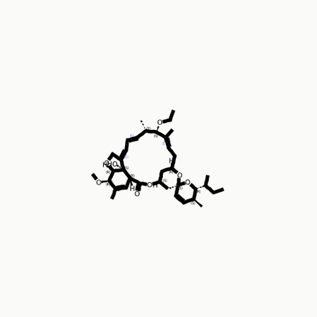 CCO[C@@H]1/C(C)=C/C[C@@H]2C[C@@H](C[C@]3(C=C[C@H](C)[C@@H](C(C)CC)O3)O2)OC(=O)[C@@H]2C=C(C)[C@@H](OC)[C@H]3OC/C(=C\C=C\[C@@H]1C)[C@]32O